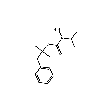 CC(C)N(N)C(=O)OC(C)(C)Cc1ccccc1